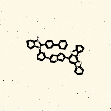 c1ccc(-c2ccc(C3Nc4ccccc4N3c3cccc(-c4ccc5cc(-c6cc7c8ccccc8oc7c7c6oc6ccccc67)ccc5c4)c3)cc2)cc1